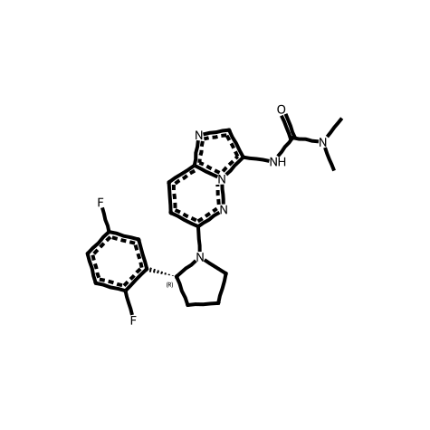 CN(C)C(=O)Nc1cnc2ccc(N3CCC[C@@H]3c3cc(F)ccc3F)nn12